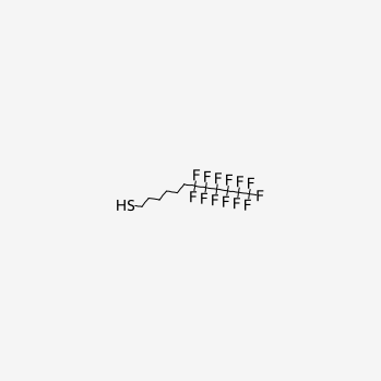 FC(F)(F)C(F)(F)C(F)(F)C(F)(F)C(F)(F)C(F)(F)CCCCCCS